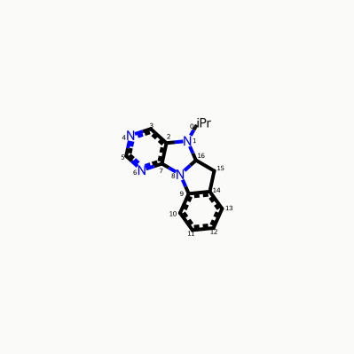 CC(C)N1c2cncnc2N2c3ccccc3CC21